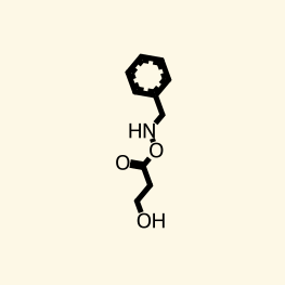 O=C(CCO)ONCc1ccccc1